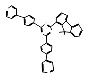 CC1(C)c2ccccc2-c2cccc(-c3nc(-c4ccc(-c5ccncc5)cc4)nc(-c4ccc(-c5ccncc5)cc4)n3)c21